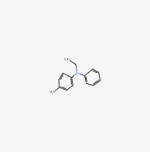 CC(=O)OCN(c1ccccc1)c1ccc([N+](=O)[O-])cc1